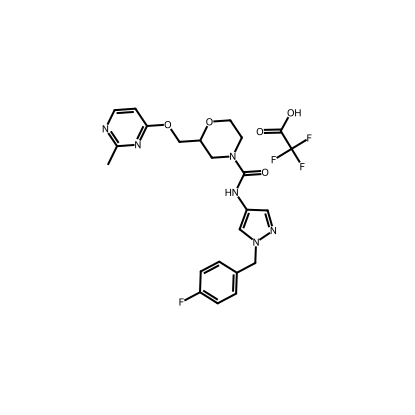 Cc1nccc(OCC2CN(C(=O)Nc3cnn(Cc4ccc(F)cc4)c3)CCO2)n1.O=C(O)C(F)(F)F